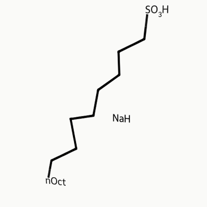 CCCCCCCCCCCCCCCCS(=O)(=O)O.[NaH]